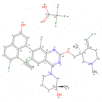 C#Cc1c(F)ccc2cc(O)cc(-c3c(Cl)cc4c(N5CCC[C@@](C)(O)C5)nc(OC[C@]5(C)CN(C)CC/C5=C\F)nc4c3F)c12.O=C(O)C(F)(F)F